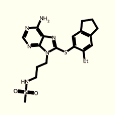 CCc1cc2c(cc1Sc1nc3c(N)ncnc3n1CCCNS(C)(=O)=O)CCC2